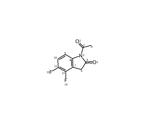 CC(=O)N1C(=O)Cc2c1ccc(F)c2F